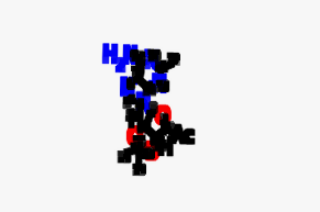 CC(=O)[C@H]1OC(n2cnc3c(N)nc(C)nc32)[C@@H]2OC(C)(C)O[C@H]12